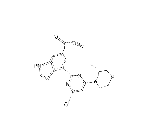 COC(=O)c1cc(-c2nc(Cl)cc(N3CCOC[C@H]3C)n2)c2cc[nH]c2c1